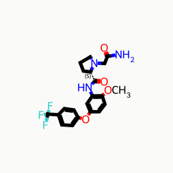 COc1ccc(Oc2ccc(C(F)(F)F)cc2)cc1NC(=O)[C@@H]1CCCN1CC(N)=O